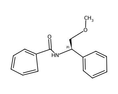 COC[C@H](NC(=O)c1ccccc1)c1ccccc1